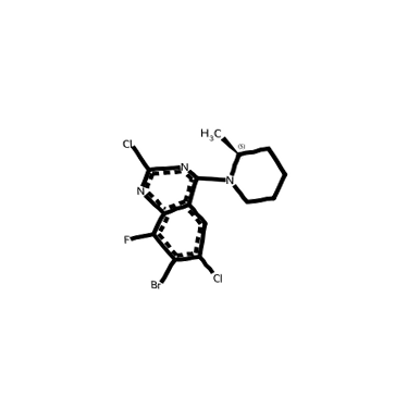 C[C@H]1CCCCN1c1nc(Cl)nc2c(F)c(Br)c(Cl)cc12